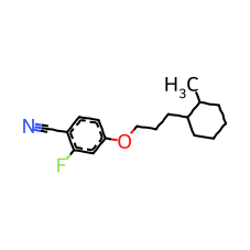 CC1CCCCC1CCCOc1ccc(C#N)c(F)c1